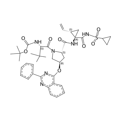 C=C[C@@H]1C[C@]1(NC(=O)[C@@H]1C[C@@H](Oc2nc(-c3ccccc3)nc3ccccc23)CN1C(=O)[C@@H](NC(=O)OC(C)(C)C)C(C)(C)C)C(=O)NS(=O)(=O)C1CC1